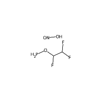 FC(F)C(F)OP.O=NO